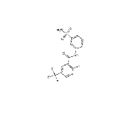 NS(=O)(=O)c1cccc(NC(=O)c2cc(C(F)(F)F)ccc2F)c1